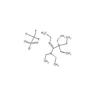 CCN=C(N(CC)CC)[N+](CC)(CC)CC.O=S(=O)([O-])C(F)(F)F